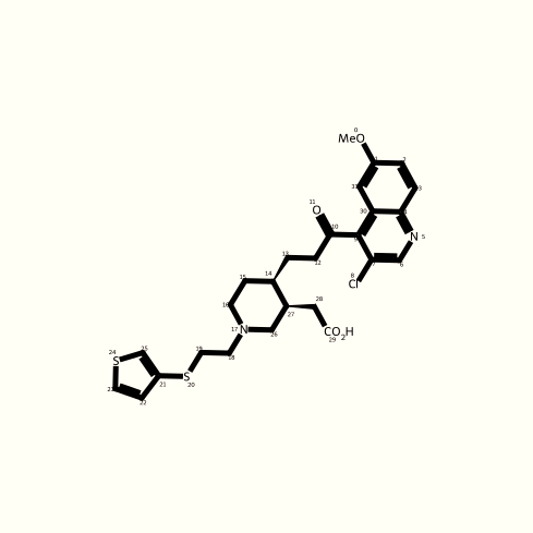 COc1ccc2ncc(Cl)c(C(=O)CC[C@@H]3CCN(CCSc4ccsc4)C[C@@H]3CC(=O)O)c2c1